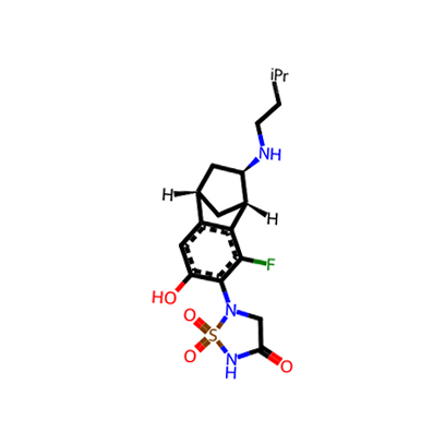 CC(C)CCN[C@@H]1C[C@@H]2C[C@H]1c1c2cc(O)c(N2CC(=O)NS2(=O)=O)c1F